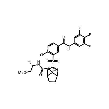 COC[C@H](C)NC(=O)C[C@]1(O)C2CCC1C[C@@H](S(=O)(=O)c1cc(C(=O)Nc3cc(F)c(F)c(F)c3)ccc1Cl)C2